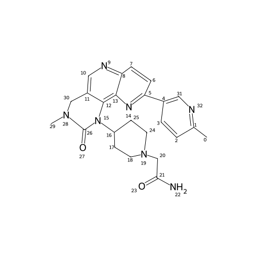 Cc1ccc(-c2ccc3ncc4c(c3n2)N(C2CCN(CC(N)=O)CC2)C(=O)N(C)C4)cn1